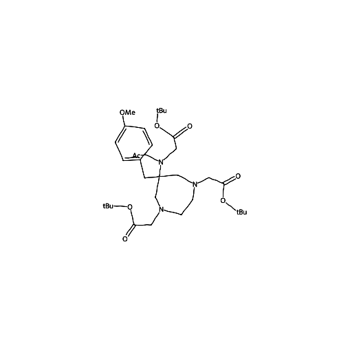 COc1ccc(CC2(N(CC(C)=O)CC(=O)OC(C)(C)C)CN(CC(=O)OC(C)(C)C)CCN(CC(=O)OC(C)(C)C)C2)cc1